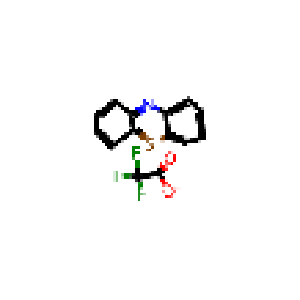 O=C([O-])C(F)(F)F.c1ccc2[s+]c3ccccc3nc2c1